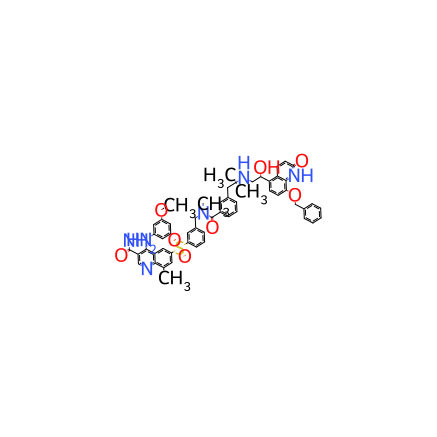 COc1cccc(Nc2c(C(N)=O)cnc3c(C)cc(S(=O)(=O)c4cccc(CN(C)C(=O)c5cccc(CC(C)(C)NCC(O)c6ccc(OCc7ccccc7)c7[nH]c(=O)ccc67)c5)c4)cc23)c1